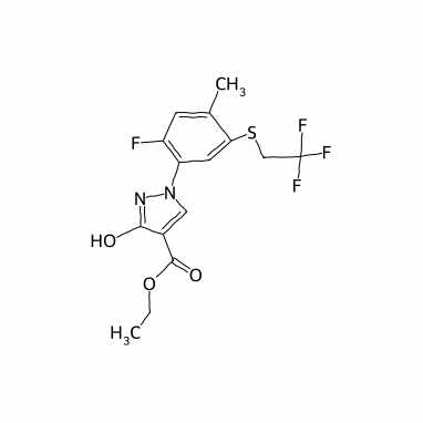 CCOC(=O)c1cn(-c2cc(SCC(F)(F)F)c(C)cc2F)nc1O